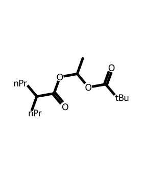 CCCC(CCC)C(=O)OC(C)OC(=O)C(C)(C)C